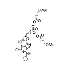 COCCOC(=O)OCOP(=O)(COC[C@@H]1C[C@@H](O)C(n2ncc3c(NC4CCCC4)nc(Cl)nc32)O1)OCOC(=O)OCCOC